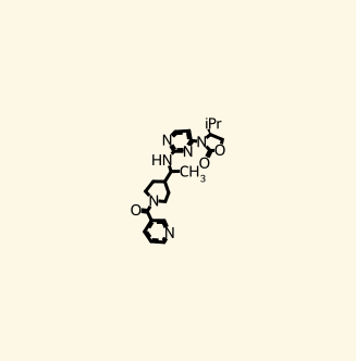 CC(Nc1nccc(N2C(=O)OC[C@@H]2C(C)C)n1)C1CCN(C(=O)c2cccnc2)CC1